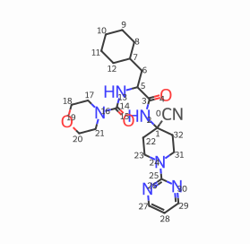 N#CC1(NC(=O)C(CC2CCCCC2)NC(=O)N2CCOCC2)CCN(c2ncccn2)CC1